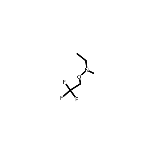 CCN(C)OCC(F)(F)F